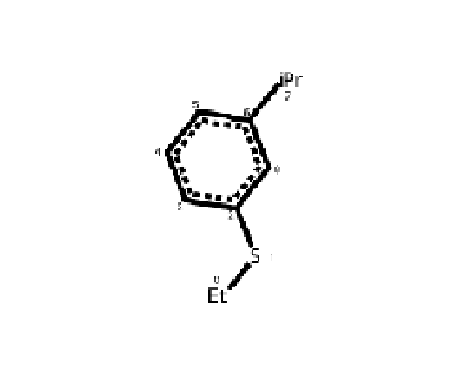 CCSc1cccc(C(C)C)c1